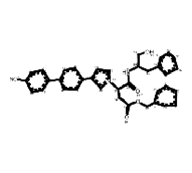 N#Cc1ccc(-c2ccc(-c3ccn(C(CC(=O)OCc4ccccc4)C(=O)NC(CO)Cc4ccccc4)c3)cc2)cc1